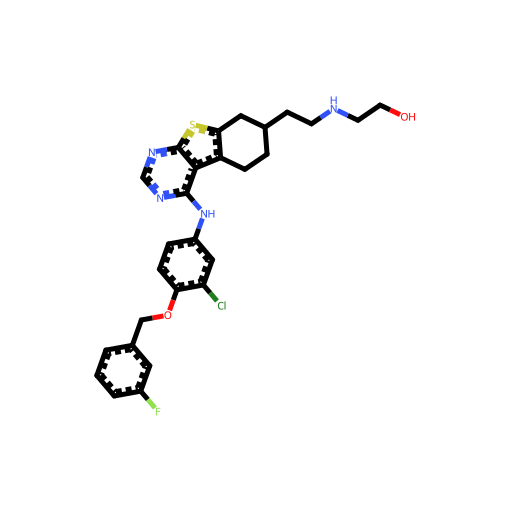 OCCNCCC1CCc2c(sc3ncnc(Nc4ccc(OCc5cccc(F)c5)c(Cl)c4)c23)C1